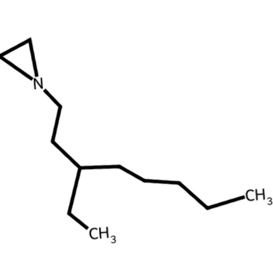 CCCCCC(CC)CCN1CC1